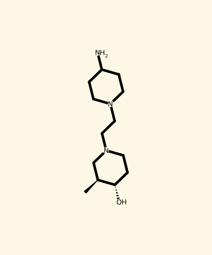 C[C@H]1CN(CCN2CCC(N)CC2)CC[C@@H]1O